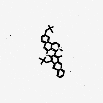 Cc1c2c(c(CC(C)(C)C)c3cc4ccccc4cc13)Oc1cc3ccc(CC(C)(C)C)cc3c3cc[n+](C)c-2c13